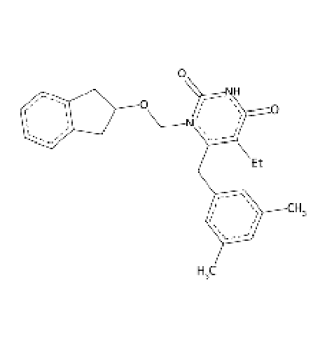 CCc1c(Cc2cc(C)cc(C)c2)n(COC2Cc3ccccc3C2)c(=O)[nH]c1=O